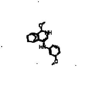 COC1C=C(NC2=CNC(OC)C3=C2C2CCC3C2)C=CC1